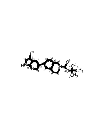 CC(C)(C)OC(=O)N1CCc2cc(-c3cnc4[nH]cc(I)c4c3)ccc2C1